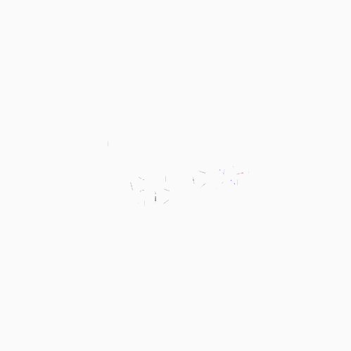 COCCCOc1ccc(-c2cccc(COc3ccc(Cn4oc(=O)[nH]c4=O)cc3)c2C)c(C)c1